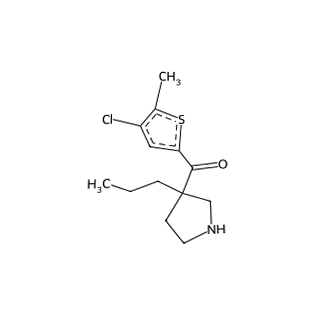 CCCC1(C(=O)c2cc(Cl)c(C)s2)CCNC1